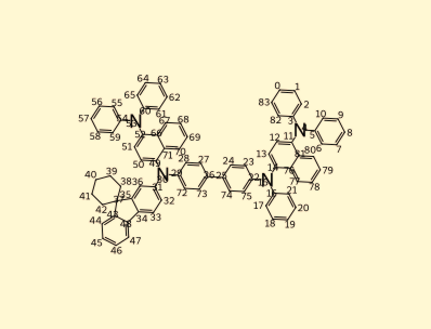 c1ccc(N(c2ccccc2)c2ccc(N(c3ccccc3)c3ccc(-c4ccc(N(c5ccc6c(c5)C5(CCCCC5)c5ccccc5-6)c5ccc(N(c6ccccc6)c6ccccc6)c6ccccc56)cc4)cc3)c3ccccc23)cc1